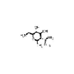 C[C@H]1OC(CN)[C@H](O)C(O)[C@@H]1N(N)N